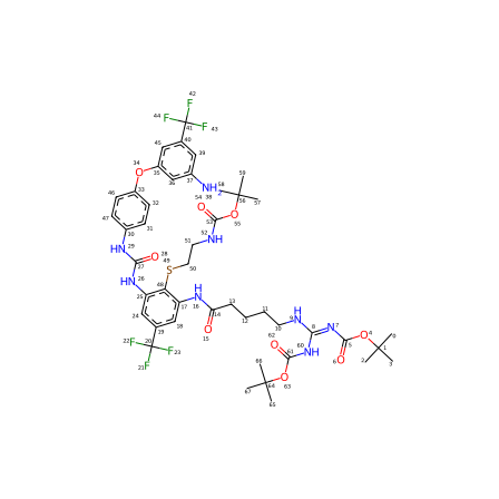 CC(C)(C)OC(=O)/N=C(/NCCCCC(=O)Nc1cc(C(F)(F)F)cc(NC(=O)Nc2ccc(Oc3cc(N)cc(C(F)(F)F)c3)cc2)c1SCCNC(=O)OC(C)(C)C)NC(=O)OC(C)(C)C